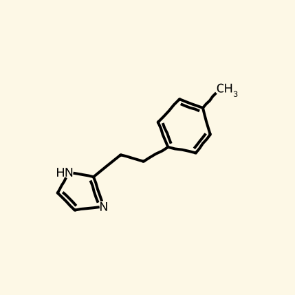 Cc1ccc(CCc2ncc[nH]2)cc1